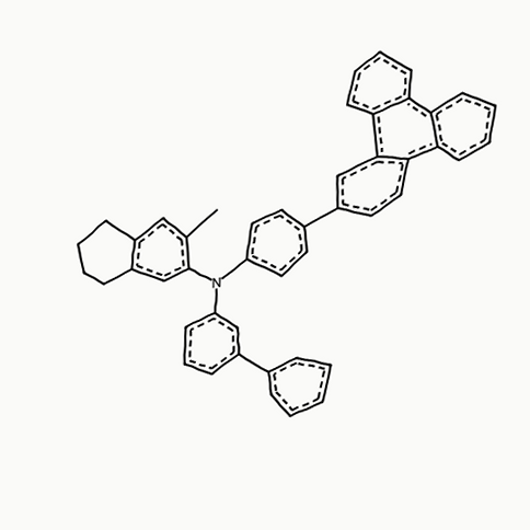 Cc1cc2c(cc1N(c1ccc(-c3ccc4c5ccccc5c5ccccc5c4c3)cc1)c1cccc(-c3ccccc3)c1)CCCC2